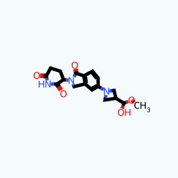 COC(O)C1CN(c2ccc3c(c2)CN(C2CCC(=O)NC2=O)C3=O)C1